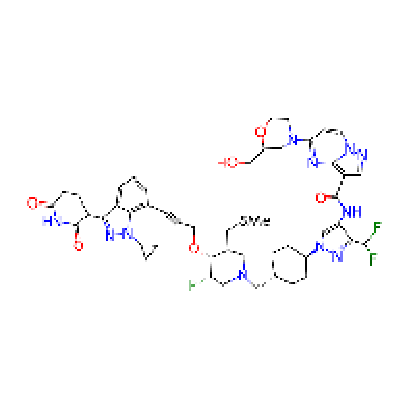 CSCC1CN(C[C@H]2CC[C@H](n3cc(NC(=O)c4cnn5ccc(N6CCOC(CO)C6)nc45)c(C(F)F)n3)CC2)C[C@H](F)[C@@H]1OCC#Cc1cccc2c(C3CCC(=O)NC3=O)nn(C3CC3)c12